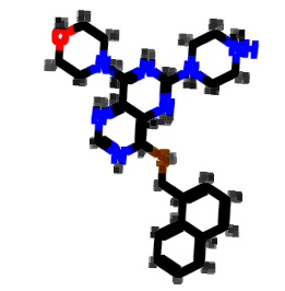 c1ccc2c(CSc3ncnc4c(N5CCOCC5)nc(N5CCNCC5)nc34)cccc2c1